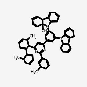 CC1C=C(c2nc(-c3cc(N4C5=C(CCC=C5)C5C=CCCC54)cc(N4c5ccccc5C5C=CC=CC54C)c3)cc(C3C(C4=CC=CCC4C)=CC=CC3C)n2)C=CC1